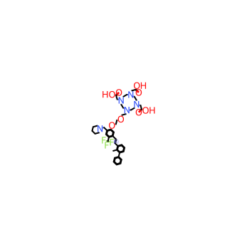 Cc1c(/C=C/c2cc(OCCOCCN3CCN(CC(=O)O)CCN(CC(=O)O)CCN(CC(=O)O)CC3)c(CN3CCCCC3)cc2C(F)(F)F)cccc1-c1ccccc1